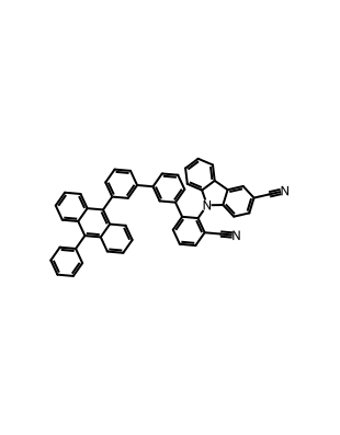 N#Cc1ccc2c(c1)c1ccccc1n2-c1c(C#N)cccc1-c1cccc(-c2cccc(-c3c4ccccc4c(-c4ccccc4)c4ccccc34)c2)c1